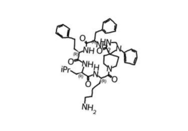 CC(C)C[C@@H](NC(=O)[C@@H](CCc1ccccc1)NC(=O)[C@H](N)Cc1ccccc1)C(=O)N[C@H](CCCCN)C(=O)N1CCC2(CC1)C(=O)NCN2c1ccccc1